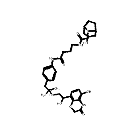 CC(C)(Cc1ccc(NC(=O)CCCNC(=O)CN2C3CCC2CC(O)C3)cc1)NCC(O)c1ccc(O)c2c1OCC(=O)N2